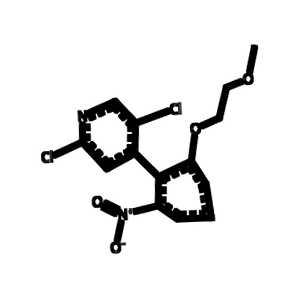 COCCOc1cccc([N+](=O)[O-])c1-c1cc(Cl)ncc1Cl